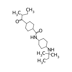 CCC(C)C(=O)C1CCC(C(=O)NC2CCC(NC(C)(C)CC)CC2)CC1